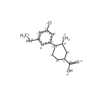 CNc1nc(Cl)nc(N2CCC(C(=O)O)CC2C)n1